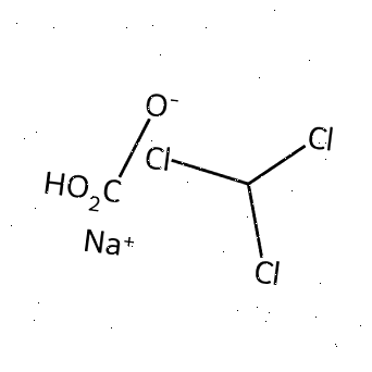 ClC(Cl)Cl.O=C([O-])O.[Na+]